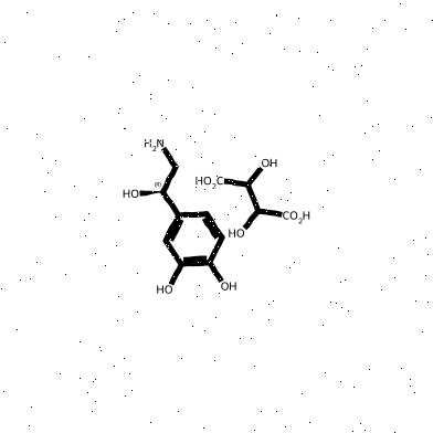 NC[C@H](O)c1ccc(O)c(O)c1.O=C(O)C(O)C(O)C(=O)O